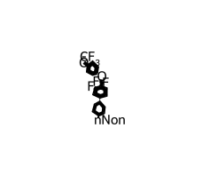 CCCCCCCCC[C@H]1CC[C@H](c2ccc(C(F)(F)Oc3ccc(OC(F)(F)F)cc3)c(F)c2)CC1